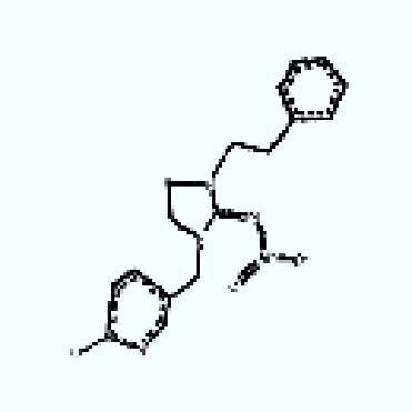 O=[N+]([O-])N=C1N(CCc2ccccc2)CCN1Cc1ccc(Cl)nc1